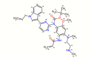 C=CCn1cc(-c2ccnc(N(C(=O)OC(C)(C)C)c3cc(NC(=O)C=C)c(N(C)CCNC)cc3OC)n2)c2ccccc21